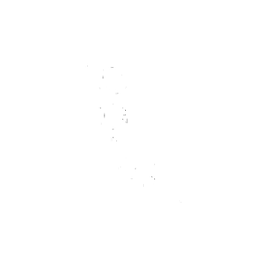 CC(C)(C)CCN1CCC2(CC1)CC2CNC(=N)/C=C\C(=N)c1cccc(F)c1